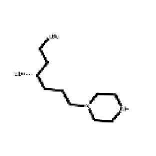 CC[C@@H](CCCN1CCNCC1)CCC(C)(C)C